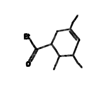 CCC(=O)C1CC(C)=CC(C)C1C